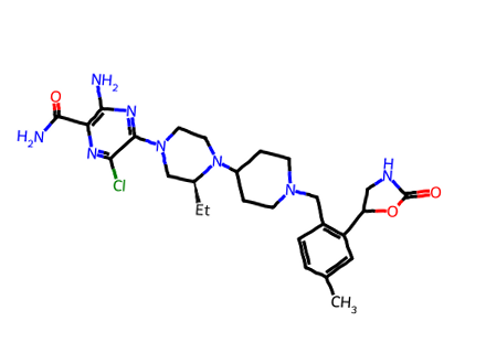 CC[C@H]1CN(c2nc(N)c(C(N)=O)nc2Cl)CCN1C1CCN(Cc2ccc(C)cc2C2CNC(=O)O2)CC1